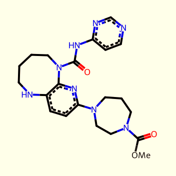 COC(=O)N1CCCN(c2ccc3c(n2)N(C(=O)Nc2ccncn2)CCCCN3)CC1